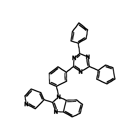 c1ccc(-c2nc(-c3ccccc3)nc(-c3cccc(-n4c(-c5cccnc5)nc5ccccc54)c3)n2)cc1